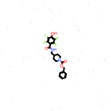 O=C(NCC1CCN(C(=O)OCc2ccccc2)CC1)c1c(F)c(F)c(O)c(F)c1F